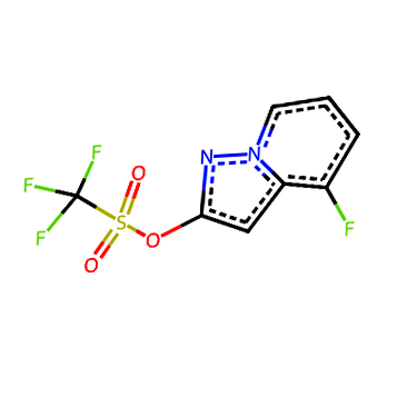 O=S(=O)(Oc1cc2c(F)cccn2n1)C(F)(F)F